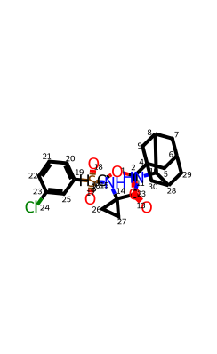 COC(=O)C12CC3CC(C1)C(NC(=O)C1(NS(=O)(=O)c4cccc(Cl)c4)CC1)C(C3)C2